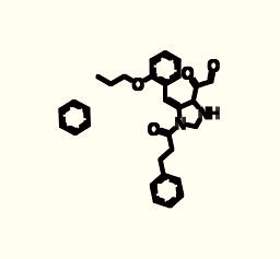 CCCOc1ccccc1C=C1C(C(=O)C=O)NCN1C(=O)CCc1ccccc1.c1ccccc1